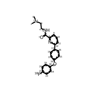 CN(C)CCNC(=O)c1cccc(-c2ccc(Oc3ccc([18F])cc3)cc2)n1